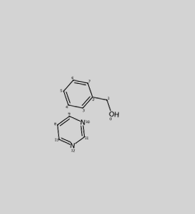 OCc1ccccc1.c1cncnc1